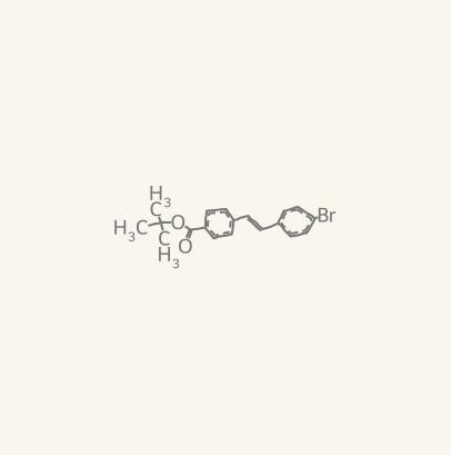 CC(C)(C)OC(=O)c1ccc(/C=C/c2ccc(Br)cc2)cc1